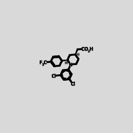 O=C(O)C[C@H]1CCN(c2cc(Cl)cc(Cl)c2)[C@@H](C2C=CC(C(F)(F)F)=CC2)C1